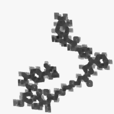 Cc1ncsc1-c1ccc(C(C)NC(=O)[C@@H]2C[C@@H](O)CN2C(=O)C(NC(=O)CCOCCOCCC(=O)N2CC(C(c3ccccc3)n3cc(NC(=O)c4n[nH]c5c4C[C@@H]4C(F)(F)[C@]4(C)C5)cn3)C2)C(C)(C)C)cc1